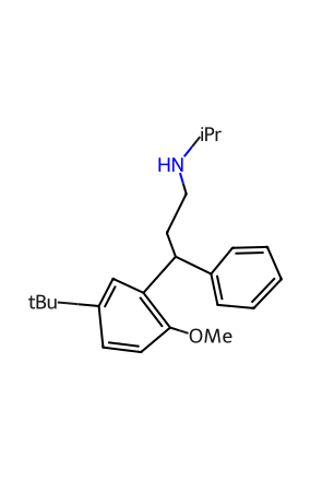 COc1ccc(C(C)(C)C)cc1C(CCNC(C)C)c1ccccc1